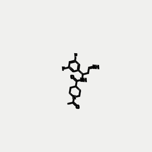 CC(=O)N1CCC(C(=O)NC(CC=N)c2cc(F)cc(F)c2)CC1